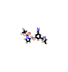 Cc1cnc(-c2cc(C#N)cc(OC[C@@H]3CCCN3C(=O)OC(C)(C)C)c2)s1